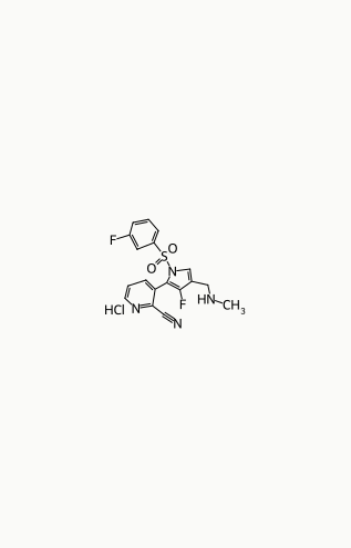 CNCc1cn(S(=O)(=O)c2cccc(F)c2)c(-c2cccnc2C#N)c1F.Cl